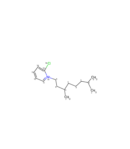 CC(C)CCCC(C)CC[n+]1ccccc1Cl